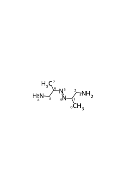 CC(CN)/N=N/C(C)CN